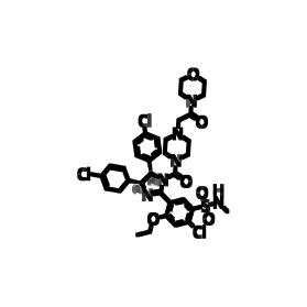 CCOc1cc(Cl)c(S(=O)(=O)NC)cc1C1=N[C@@H](C2C=CC(Cl)=CC2)[C@@H](c2ccc(Cl)cc2)N1C(=O)N1CCN(CC(=O)N2CCOCC2)CC1